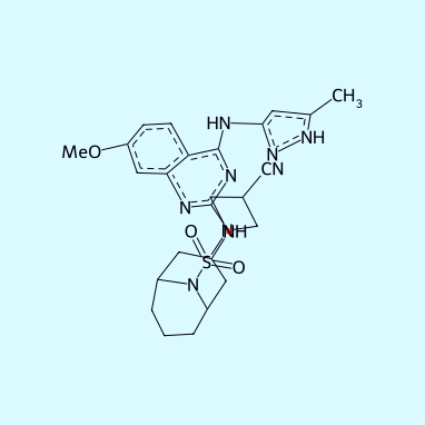 COc1ccc2c(Nc3cc(C)[nH]n3)nc(NC3CC4CCCC(C3)N4S(=O)(=O)N3CC(C#N)C3)nc2c1